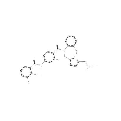 Cc1cc(NC(=O)c2cccc(F)c2C)ccc1C(=O)N1Cc2ccc(CN(C)C)n2Cc2ccccc21